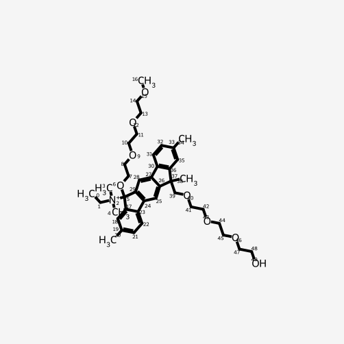 CC[N+](C)(C)C1(OCCOCCOCCOC)c2cc(C)ccc2-c2cc3c(cc21)-c1ccc(C)cc1C3(C)COCCOCCOCCO